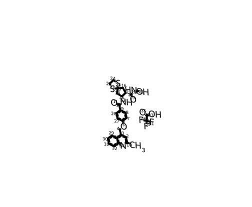 Cc1cc(COc2ccc(C(=O)N[C@@H]3CC4(C[C@@H]3C(=O)NO)SCCS4)cc2)c2ccccc2n1.O=C(O)C(F)(F)F